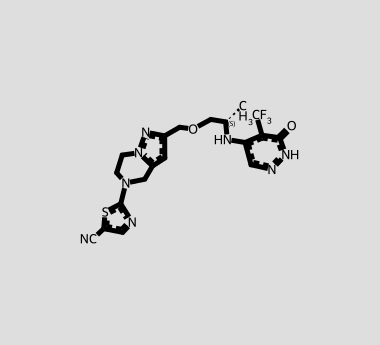 C[C@@H](COCc1cc2n(n1)CCN(c1ncc(C#N)s1)C2)Nc1cn[nH]c(=O)c1C(F)(F)F